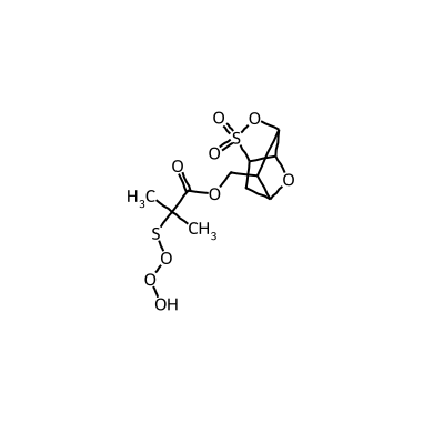 CC(C)(SOOO)C(=O)OCC1C2CC3C(O2)C1OS3(=O)=O